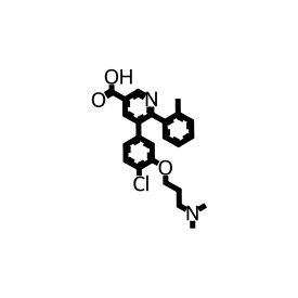 Cc1ccccc1-c1ncc(C(=O)O)cc1-c1ccc(Cl)c(OCCCN(C)C)c1